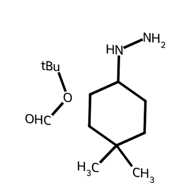 CC(C)(C)OC=O.CC1(C)CCC(NN)CC1